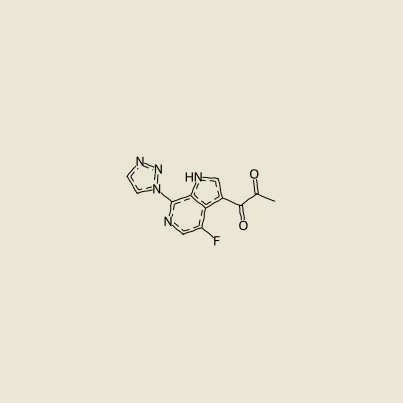 CC(=O)C(=O)c1c[nH]c2c(-n3ccnn3)ncc(F)c12